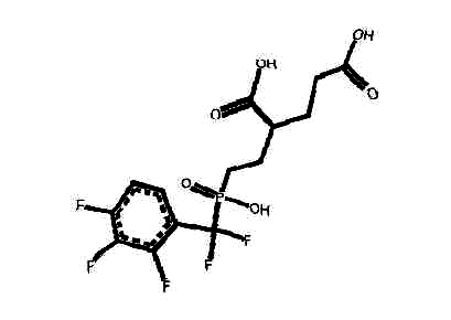 O=C(O)CCC(CCP(=O)(O)C(F)(F)c1ccc(F)c(F)c1F)C(=O)O